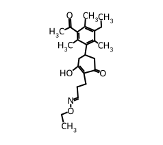 CCON=CCCC1=C(O)CC(c2c(C)c(CC)c(C)c(C(C)=O)c2C)CC1=O